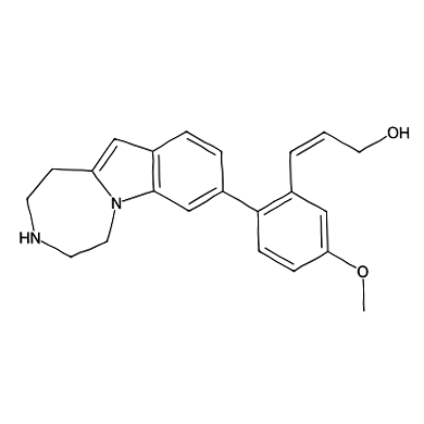 COc1ccc(-c2ccc3cc4n(c3c2)CCNCC4)c(/C=C\CO)c1